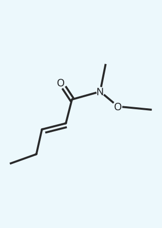 CC/C=C/C(=O)N(C)OC